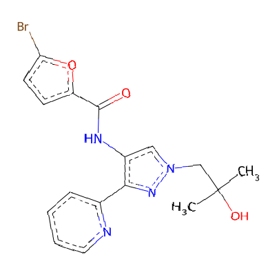 CC(C)(O)Cn1cc(NC(=O)c2ccc(Br)o2)c(-c2ccccn2)n1